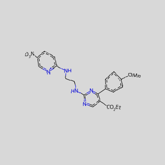 CCOC(=O)c1cnc(NCCNc2ccc([N+](=O)[O-])cn2)nc1-c1ccc(OC)cc1